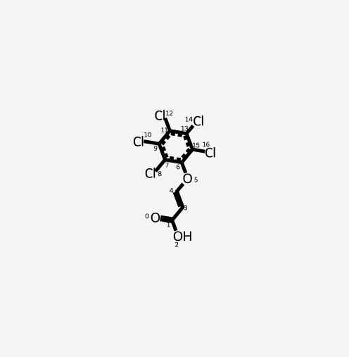 O=C(O)C=COc1c(Cl)c(Cl)c(Cl)c(Cl)c1Cl